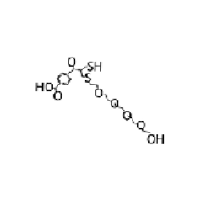 O=C(O)c1ccc(C(=O)C(CS)CSCCOCCOCCOCCOCCO)cc1